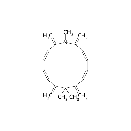 C=C1/C=C\C=C/C(=C)C(C)(C)C(=C)/C=C\C=C/C(=C)N1C